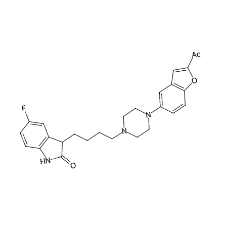 CC(=O)c1cc2cc(N3CCN(CCCCC4C(=O)Nc5ccc(F)cc54)CC3)ccc2o1